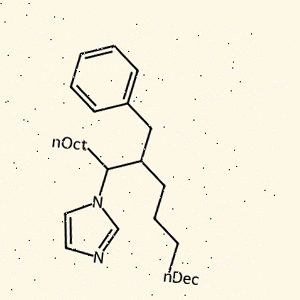 CCCCCCCCCCCCCC(Cc1ccccc1)C(CCCCCCCC)n1ccnc1